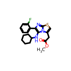 COC(=O)Cc1csc2nc(-c3ccccc3F)c(NC3CCCCC3)n12